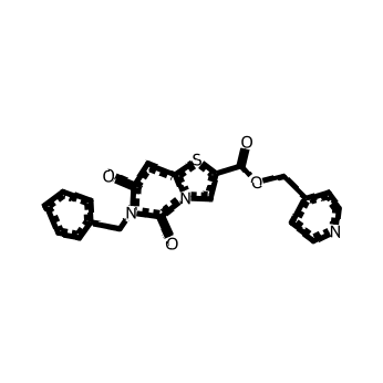 O=C(OCc1ccncc1)c1cn2c(=O)n(Cc3ccccc3)c(=O)cc2s1